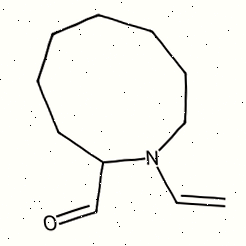 C=CN1CCCCCCCC1C=O